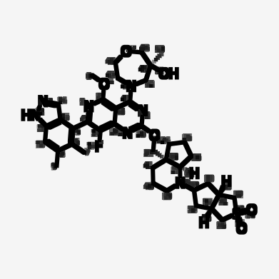 COc1nc(-c2c(C)c(C)cc3[nH]ncc23)c(F)c2nc(OC[C@]34CCC[C@H]3N(C3C[C@@H]5CS(=O)(=O)C[C@@H]5C3)CCC4)nc(N3CCOC[C@@](C)(O)C3)c12